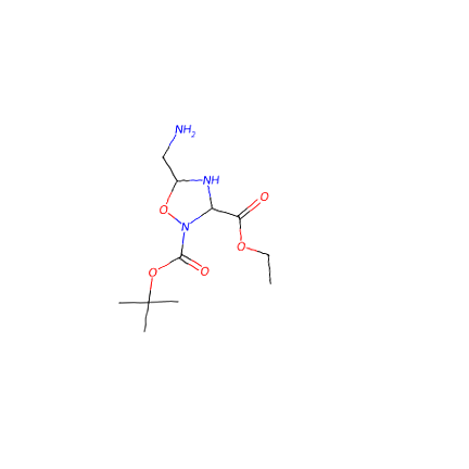 CCOC(=O)C1NC(CN)ON1C(=O)OC(C)(C)C